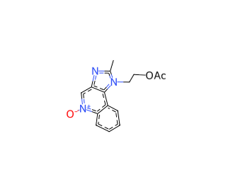 CC(=O)OCCn1c(C)nc2c[n+]([O-])c3ccccc3c21